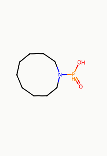 O=[PH](O)N1CCCCCCCCC1